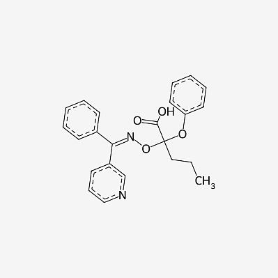 CCCC(ON=C(c1ccccc1)c1cccnc1)(Oc1ccccc1)C(=O)O